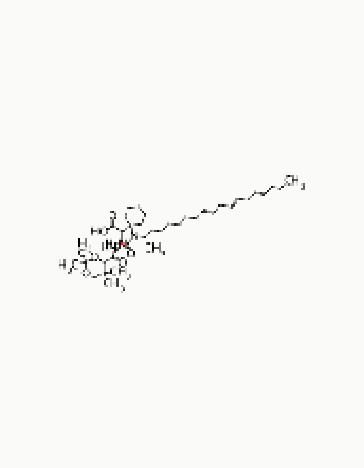 CCC/C=C/C/C=C/C/C=C/CCCCCCC(C)N(C(N)=O)C1(C(CNC(=O)C2OC(C)(C)OCC2(C)C)C(=O)O)CCCCC1